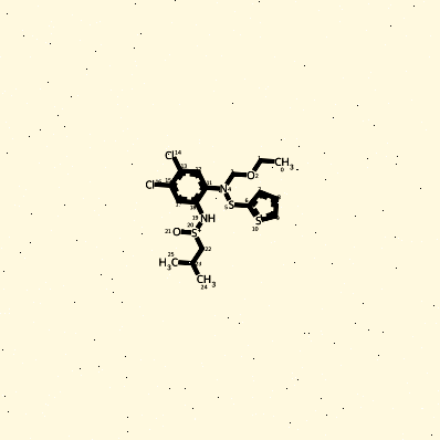 CCOCN(Sc1cccs1)c1cc(Cl)c(Cl)cc1N[S+]([O-])CC(C)C